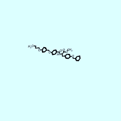 CCCCOc1ccc(COc2ccc(C(=O)NC(Cc3ccc(OCc4ccccc4)cc3)C(=O)OC)cc2)cc1